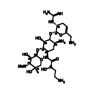 CN[C@@H]1[C@@H](O)[C@@H](O[C@H]2[C@H](NC(=O)N(O)CCN)C[C@H](N)C(O[C@H]3OC(CN)=CC[C@H]3NC(=N)N)[C@@H]2O)OC[C@]1(C)O